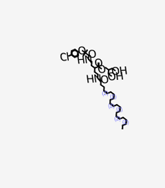 CC/C=C\C/C=C\C/C=C\C/C=C\C/C=C\C/C=C\CCC(=O)NCCC(CCNC(=O)C(C)(C)Oc1ccc(Cl)cc1)C(=O)OCC(CO)CO